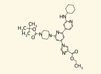 CCOC(=O)c1cn(-c2cc(-c3ccnc(NC4CCCCC4)c3)nc(N3CCN(C(=O)OC(C)(C)C)CC3)c2)cn1